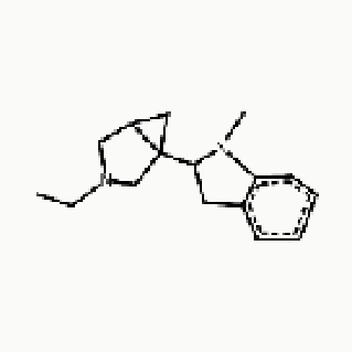 CCN1CC2CC2(C2Cc3ccccc3N2C)C1